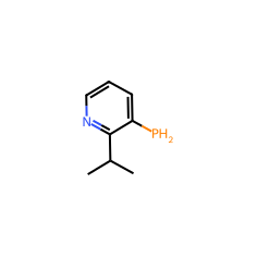 CC(C)c1ncccc1P